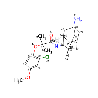 COc1ccc(OC(C)(C)C(=O)NC2[C@@H]3CC4C[C@H]2CC(N)(C4)C3)c(Cl)c1